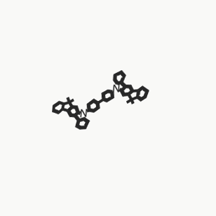 CC1(C)c2ccccc2-c2cc3c4ccccc4n(-c4ccc(-c5ccc(-n6c7ccccc7c7cc8c(cc76)C(C)(C)C6C=CC=CC86)cc5)cc4)c3cc21